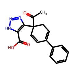 CC(=O)C1(c2nn[nH]c2C(=O)O)C=CC(c2ccccc2)=CC1